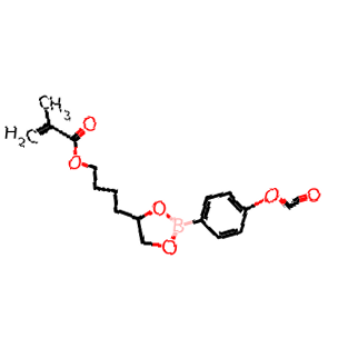 C=C(C)C(=O)OCCCCC1COB(c2ccc(OC=O)cc2)O1